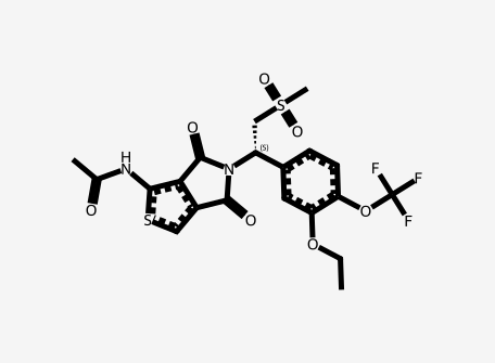 CCOc1cc([C@@H](CS(C)(=O)=O)N2C(=O)c3csc(NC(C)=O)c3C2=O)ccc1OC(F)(F)F